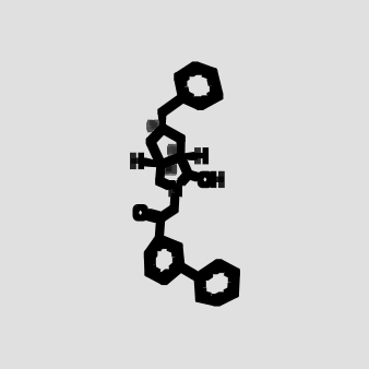 O=C(CN1C[C@@H]2C[C@@H](Cc3ccccc3)C[C@@H]2C1O)c1cccc(-c2ccccc2)c1